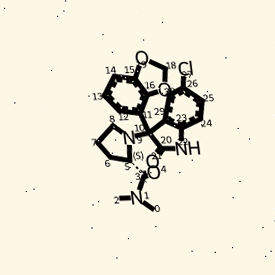 CN(C)C(=O)[C@@H]1CCCN1C1(c2cccc3c2OCO3)C(=O)Nc2ccc(Cl)cc21